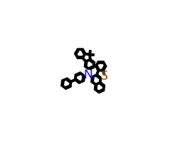 CC1(C)c2ccccc2-c2cc(N(c3ccc(-c4ccccc4)cc3)c3cc4ccccc4c4sc5ccccc5c34)ccc21